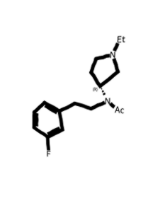 CCN1CC[C@@H](N(CCc2cccc(F)c2)C(C)=O)C1